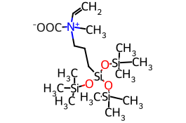 C=C[N+](C)(CCC[Si](O[Si](C)(C)C)(O[Si](C)(C)C)O[Si](C)(C)C)C(=O)[O-]